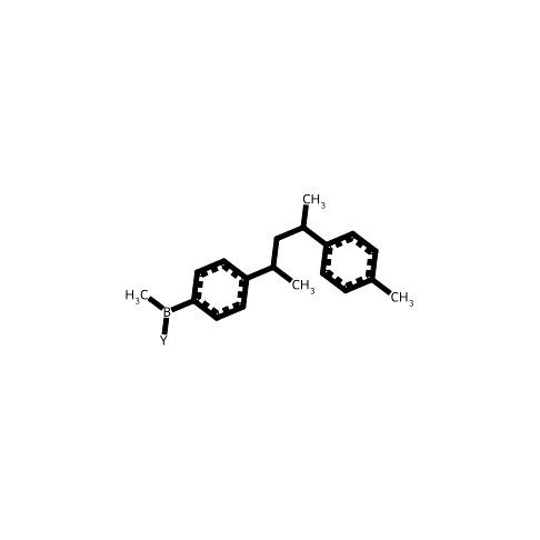 C[B]([Y])c1ccc(C(C)CC(C)c2ccc(C)cc2)cc1